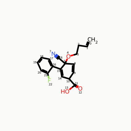 C=CCCOC1(C#N)C=CC(C(=O)O)C=C1c1ccccc1F